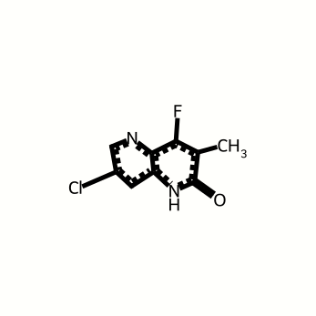 Cc1c(F)c2ncc(Cl)cc2[nH]c1=O